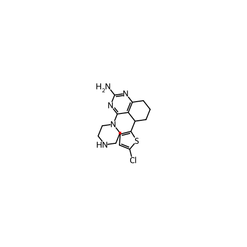 Nc1nc2c(c(N3CCNCC3)n1)C(c1ccc(Cl)s1)CCC2